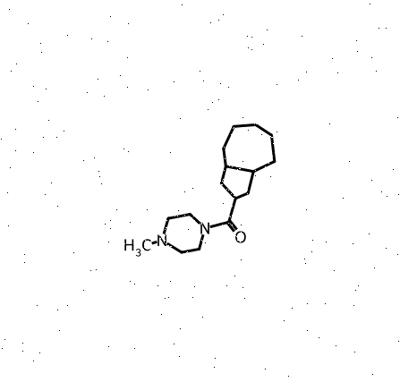 CN1CCN(C(=O)C2CC3CCCCCC3C2)CC1